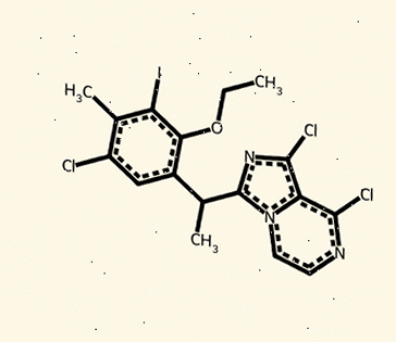 CCOc1c(C(C)c2nc(Cl)c3c(Cl)nccn23)cc(Cl)c(C)c1I